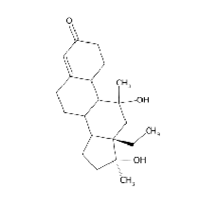 CC[C@]12CC(C)(O)C3C4CCC(=O)C=C4CCC3C1CC[C@]2(C)O